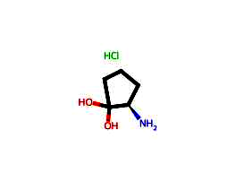 Cl.N[C@@H]1CCCC1(O)O